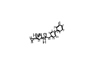 Cc1cccc(-c2ccc(CC(=O)Nc3cc(C4CC4)[nH]n3)cc2)c1